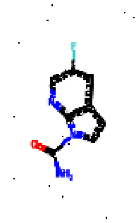 NC(=O)n1ccc2cc(F)cnc21